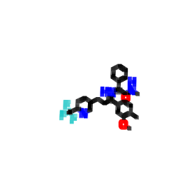 CNC(=O)[C@@H](N[C@H](CCc1ccc(C(F)(F)F)nc1)c1ccc(C)c(OC)c1)c1ccccc1